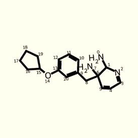 NC1N=CC=CC1(N)Cc1cccc(OC2CCCC2)c1